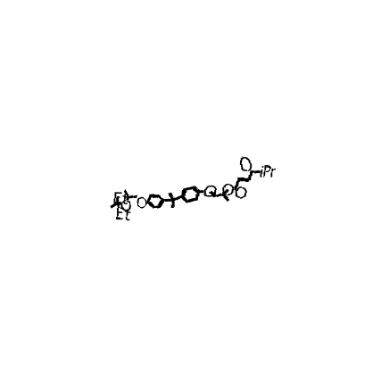 CCC(C)(CC)OC(C)COc1ccc(C(C)(C)c2ccc(OCC(C)OC(=O)/C=C/C(=O)C(C)C)cc2)cc1